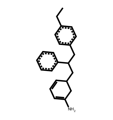 CCc1ccc(CC(CC2C=CC=C(N)C2)c2ccccc2)cc1